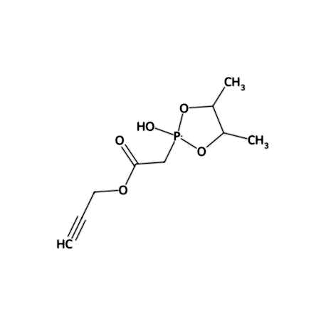 C#CCOC(=O)C[P]1(O)OC(C)C(C)O1